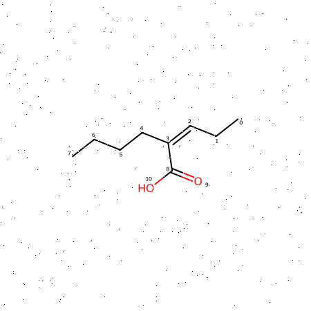 [CH2]CC=C(CCCC)C(=O)O